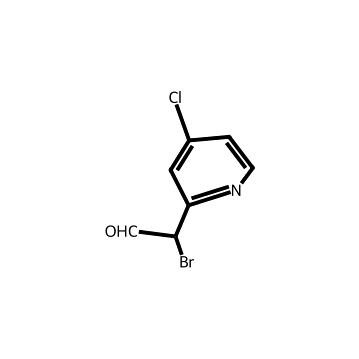 O=CC(Br)c1cc(Cl)ccn1